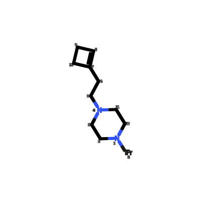 CC(C)N1CCN(CCC2=CCC2)CC1